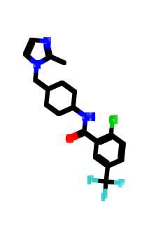 Cc1nccn1CC1CCC(NC(=O)c2cc(C(F)(F)F)ccc2Cl)CC1